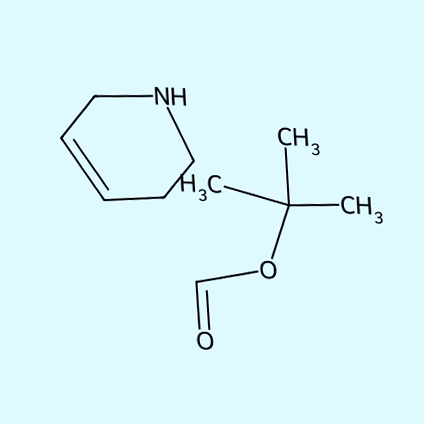 C1=CCNCC1.CC(C)(C)OC=O